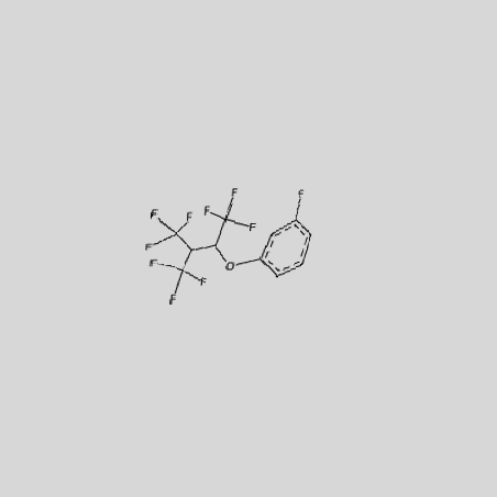 Fc1cccc(OC(C(C(F)(F)F)C(F)(F)F)C(F)(F)F)c1